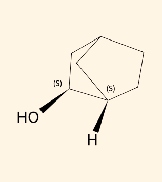 O[C@H]1CC2CC[C@H]1C2